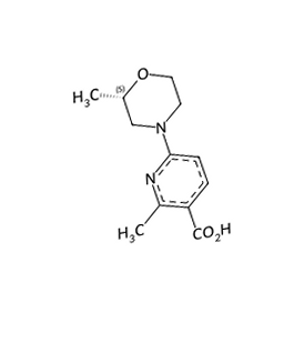 Cc1nc(N2CCO[C@@H](C)C2)ccc1C(=O)O